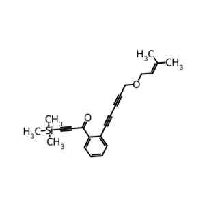 CC(C)=CCOCC#CC#Cc1ccccc1C(=O)C#C[Si](C)(C)C